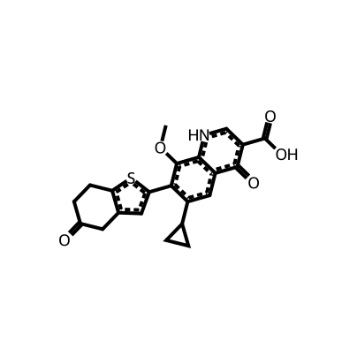 COc1c(-c2cc3c(s2)CCC(=O)C3)c(C2CC2)cc2c(=O)c(C(=O)O)c[nH]c12